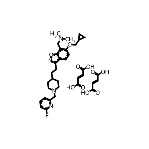 CN(C)Cc1c(OCC2CC2)ccc2c(CCC3CCN(Cc4cccc(F)n4)CC3)noc12.O=C(O)/C=C/C(=O)O.O=C(O)/C=C/C(=O)O